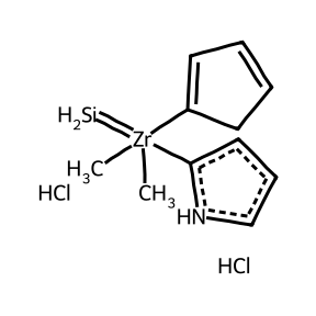 Cl.Cl.[CH3][Zr]([CH3])(=[SiH2])([C]1=CC=CC1)[c]1ccc[nH]1